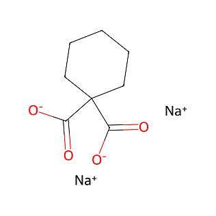 O=C([O-])C1(C(=O)[O-])CCCCC1.[Na+].[Na+]